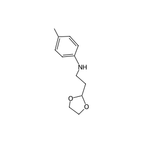 Cc1ccc(NCCC2OCCO2)cc1